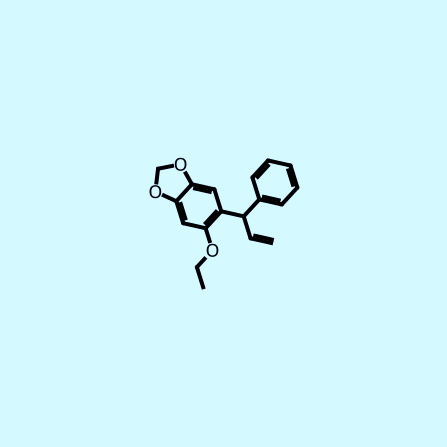 C=CC(c1ccccc1)c1cc2c(cc1OCC)OCO2